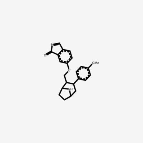 COc1ccc(C2CC3CCC(N3)C2COc2ccc3c(c2)C(=O)N=C3)cc1